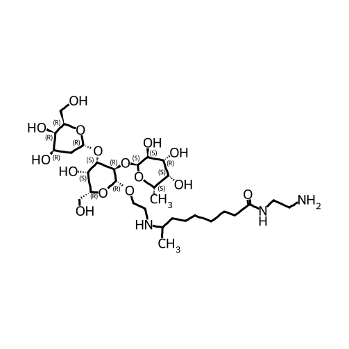 CC(CCCCCCC(=O)NCCN)NCCO[C@@H]1O[C@H](CO)[C@H](O)[C@H](O[C@@H]2C[C@@H](O)[C@@H](O)[C@@H](CO)O2)[C@H]1O[C@@H]1O[C@@H](C)[C@@H](O)[C@@H](O)[C@@H]1O